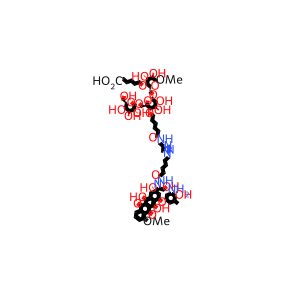 COc1cccc2c1C(=O)c1c(O)c3c(c(O)c1C2=O)C[C@@](O)(/C(CO)=N/NC(=O)CCCCCn1cc(CNC(=O)CCCCCO[C@H]2[C@H](O)[C@@H](O)[C@@H](OC[C@H]4O[C@H](OC)[C@H](O)[C@@H](O)[C@@H]4OCCCCCC(=O)O)O[C@@H]2CO[C@H]2O[C@H](CO)[C@@H](O)[C@H](O)[C@H]2O)nn1)CC3OC1CC(C)C(O)C(N)C1